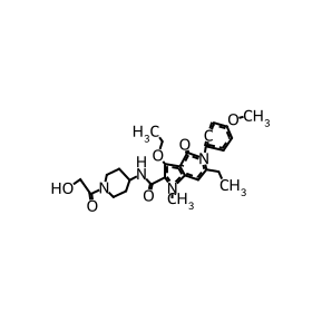 CCOc1c(C(=O)NC2CCN(C(=O)CO)CC2)n(C)c2cc(CC)n(-c3ccc(OC)cc3)c(=O)c12